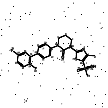 Cc1nc(N2CCCN(c3ccc(-c4cc(F)ccc4F)cc3)C2=O)sc1S(C)(=N)=O